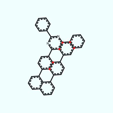 c1ccc(-c2nc(-c3ccccc3)nc(-c3ccc(-c4cccc5cccc(-c6ccc(-c7cccnc7)cc6)c45)cc3)n2)cc1